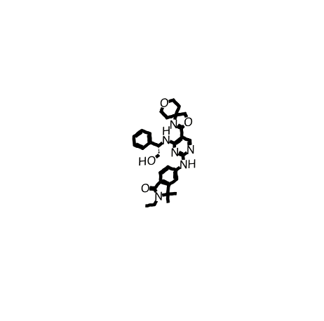 CCN1C(=O)c2ccc(Nc3ncc(C4=NC5(CCOCC5)CO4)c(N[C@H](CO)c4ccccc4)n3)cc2C1(C)C